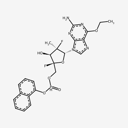 CCOc1nc(N)nc2c1ncn2[C@@H]1O[C@](F)(CO[PH](=O)Oc2cccc3ccccc23)[C@@H](O)[C@@]1(C)F